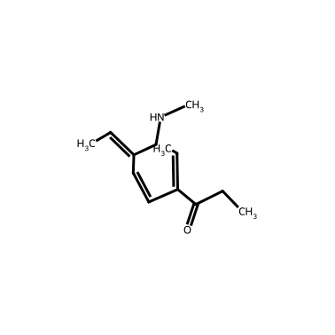 C\C=C(/C=C\C(=C/C)C(=O)CC)CNC